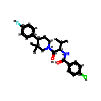 CC(C)[C@@H](NC(=O)c1ccc(Cl)cc1)C(=O)N1CCC(c2ccc(F)cc2)C(C)(C)C1